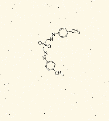 Cc1ccc(N=NCS(=O)(=O)CN=Nc2ccc(C)cc2)cc1